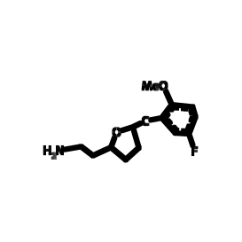 COc1ccc(F)cc1CC1CCC(CCN)O1